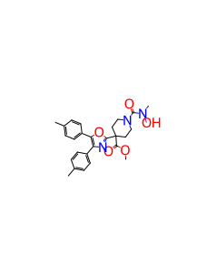 COC(=O)C1(c2nc(-c3ccc(C)cc3)c(-c3ccc(C)cc3)o2)CCN(C(=O)N(C)O)CC1